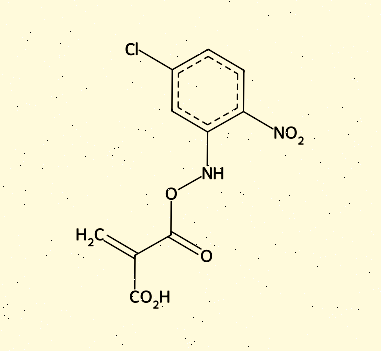 C=C(C(=O)O)C(=O)ONc1cc(Cl)ccc1[N+](=O)[O-]